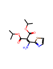 CC(C)OC(=O)C(C(=O)OC(C)C)=C(N)c1nccs1